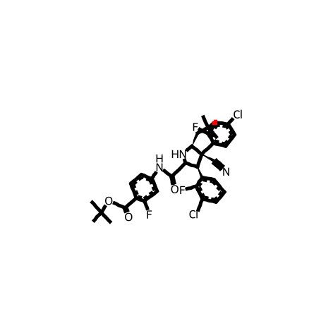 CC(C)(C)C[C@@H]1NC(C(=O)Nc2ccc(C(=O)OC(C)(C)C)c(F)c2)[C@H](c2cccc(Cl)c2F)[C@@]1(C#N)c1ccc(Cl)cc1F